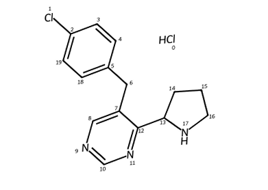 Cl.Clc1ccc(Cc2cncnc2C2CCCN2)cc1